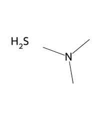 CN(C)C.S